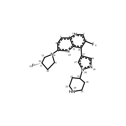 Fc1cnc2ccc(N3CC[C@H](F)C3)nc2c1-c1cnn(C2CCNCC2)c1